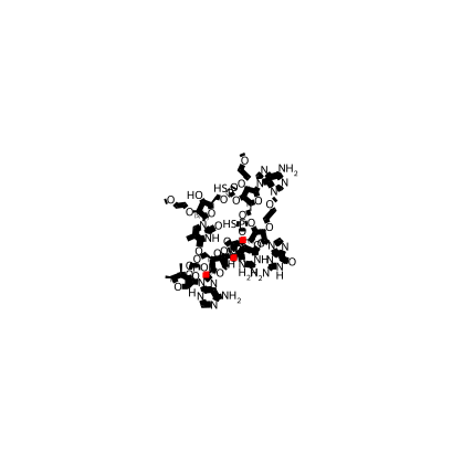 COCCO[C@H]1C(OP(=O)(S)OC[C@H]2O[C@@H](n3cc(C)c(=O)[nH]c3=O)[C@@H](OCCOC)C2O)[C@@H](COP(=O)(S)OC2[C@H](OCCOC)C(n3cnc4c(=O)[nH]c(N)nc43)O[C@@H]2COP(=O)(O)OC2[C@@H]3O[C@@H](C)[C@]2(COP(=O)(O)OC2[C@@H]4O[C@@H](C)[C@]2(C)OC4n2cnc4c(N)ncnc42)OC3n2cnc3c(=O)[nH]c(N)nc32)OC1n1cnc2c(N)ncnc21